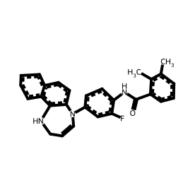 Cc1cccc(C(=O)Nc2ccc(N3C=CCNc4c3ccc3ccccc43)cc2F)c1C